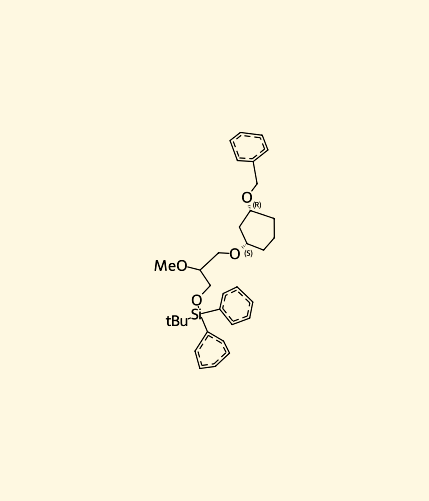 COC(CO[C@H]1CCC[C@@H](OCc2ccccc2)C1)CO[Si](c1ccccc1)(c1ccccc1)C(C)(C)C